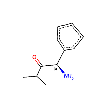 CC(C)C(=O)[C@H](N)c1ccccc1